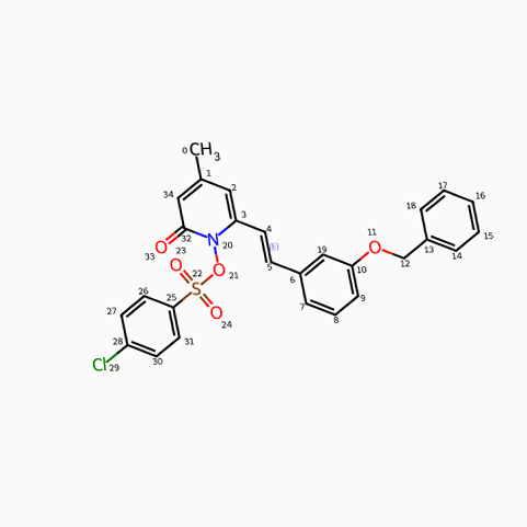 Cc1cc(/C=C/c2cccc(OCc3ccccc3)c2)n(OS(=O)(=O)c2ccc(Cl)cc2)c(=O)c1